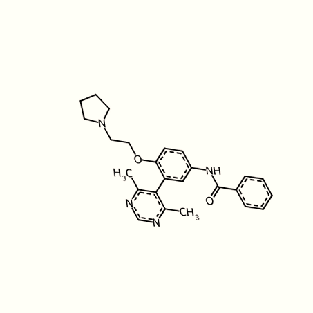 Cc1ncnc(C)c1-c1cc(NC(=O)c2ccccc2)ccc1OCCN1CCCC1